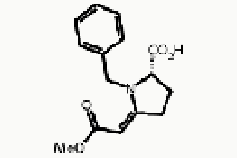 COC(=O)/C=C1/CC[C@@H](C(=O)O)N1Cc1ccccc1